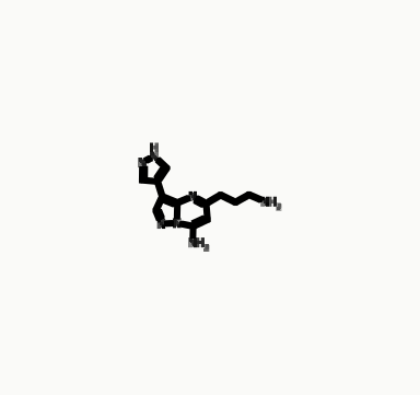 NCCCc1cc(N)n2ncc(-c3cn[nH]c3)c2n1